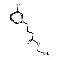 CCOC(=O)CCSc1cccc(Br)c1